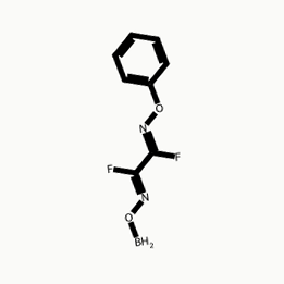 BO/N=C(F)/C(F)=N/Oc1ccccc1